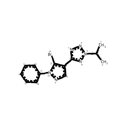 CC(C)n1nnc(-c2cnn(-c3ccccc3)c2Br)n1